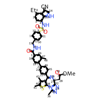 CCc1ccc(NS(=O)(=O)c2ccc(CNC(=O)c3ccc(-c4ccc(C5=N[C@@H](CC(=O)OC)c6nnc(C)n6-c6sc(C)c(C)c65)cc4)c(C)c3)cc2)c2[nH]cc(C#N)c12